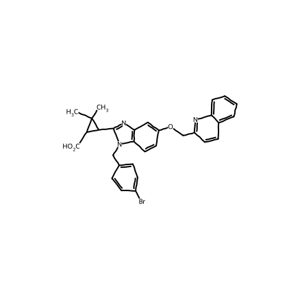 CC1(C)C(C(=O)O)C1c1nc2cc(OCc3ccc4ccccc4n3)ccc2n1Cc1ccc(Br)cc1